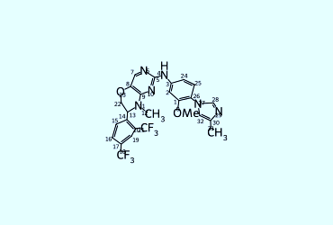 COc1cc(Nc2ncc3c(n2)N(C)C(c2ccc(C(F)(F)F)cc2C(F)(F)F)CO3)ccc1-n1cnc(C)c1